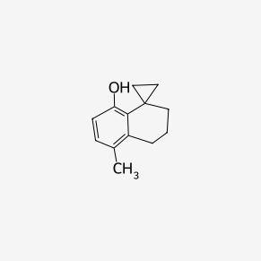 Cc1ccc(O)c2c1CCCC21CC1